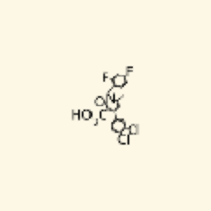 Cc1cc(-c2ccc(Cl)c(Cl)c2)c(C(=O)O)c(=O)n1Cc1ccc(F)cc1F